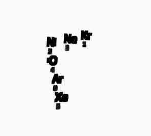 [Ar].[Kr].[N].[Ne].[O].[Xe]